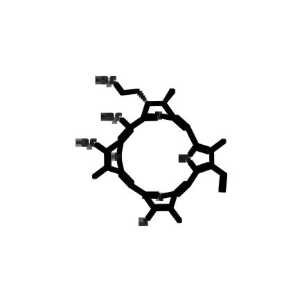 C=Cc1c(C)c2cc3nc(c(C(=O)O)c4[nH]c(cc5nc(cc1[nH]2)C(C)=C5CC)c(C)c4C(=O)O)[C@H](CCC(=O)O)[C@H]3C